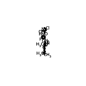 Cc1c(OCCCN(C)C)cn2ncnc(Oc3ccc(NC(=O)c4cc(Cl)cnc4Cl)cc3F)c12